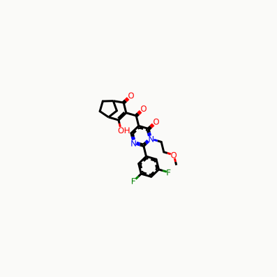 COCCn1c(-c2cc(F)cc(F)c2)ncc(C(=O)C2=C(O)C3CCC(C3)C2=O)c1=O